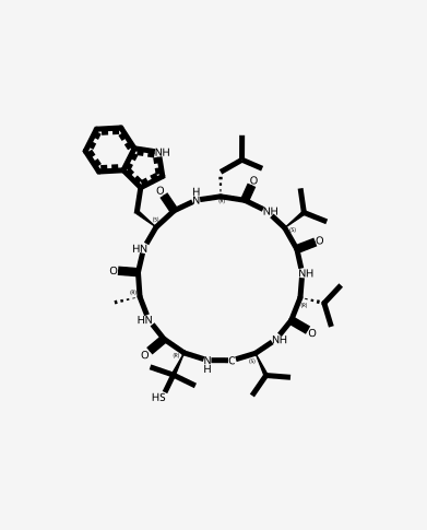 CC(C)C[C@H]1NC(=O)[C@H](Cc2c[nH]c3ccccc23)NC(=O)[C@@H](C)NC(=O)[C@H](C(C)(C)S)NC[C@H](C(C)C)NC(=O)[C@@H](C(C)C)NC(=O)[C@H](C(C)C)NC1=O